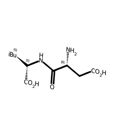 CC[C@H](C)[C@H](NC(=O)[C@H](N)CC(=O)O)C(=O)O